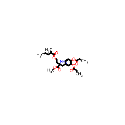 CCCC(C)C(=O)OCC[C@@](N)(Cc1ccc(OC(=O)CC)c(OC(=O)CC)c1)C(=O)OC